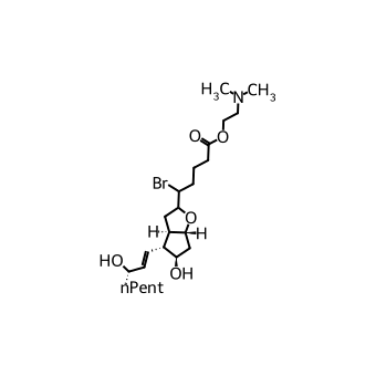 CCCCC[C@H](O)/C=C/[C@@H]1[C@H]2CC(C(Br)CCCC(=O)OCCN(C)C)O[C@@H]2C[C@H]1O